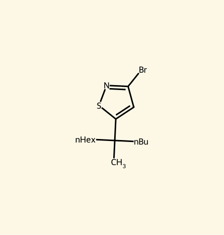 CCCCCCC(C)(CCCC)c1cc(Br)ns1